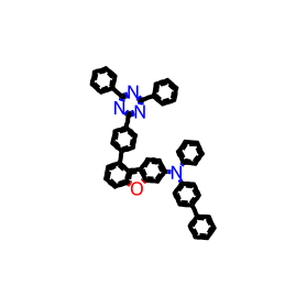 c1ccc(-c2ccc(N(c3ccccc3)c3ccc4c(c3)oc3cccc(-c5ccc(-c6nc(-c7ccccc7)nc(-c7ccccc7)n6)cc5)c34)cc2)cc1